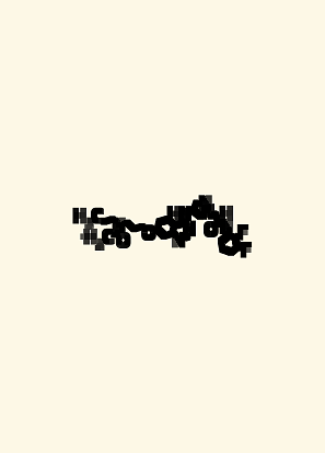 [CH2]C(=O)N(CCC)CCCOc1ccc2c(Nc3cnn(CC(=O)Nc4cccc(F)c4F)c3)ncnc2c1